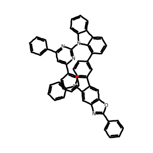 c1ccc(-c2cc(-c3ccccc3)nc(-n3c4ccccc4c4cccc(-c5ccc6c(c5)c5cc7oc(-c8ccccc8)nc7cc5n6-c5ccccc5)c43)n2)cc1